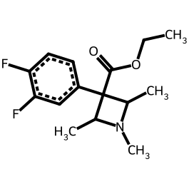 CCOC(=O)C1(c2ccc(F)c(F)c2)C(C)N(C)C1C